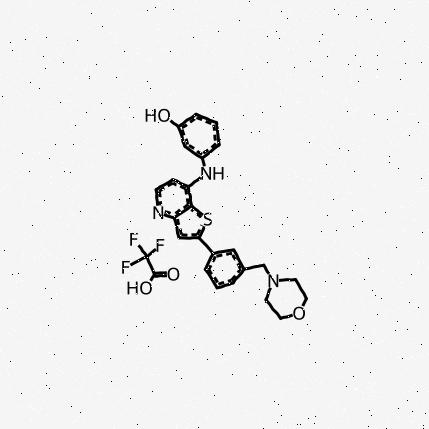 O=C(O)C(F)(F)F.Oc1cccc(Nc2ccnc3cc(-c4cccc(CN5CCOCC5)c4)sc23)c1